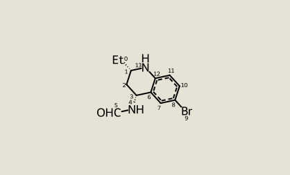 CC[C@H]1C[C@@H](NC=O)c2cc(Br)ccc2N1